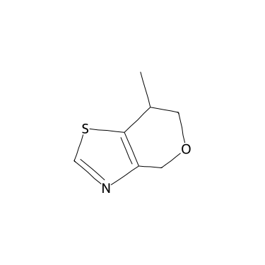 CC1COCc2ncsc21